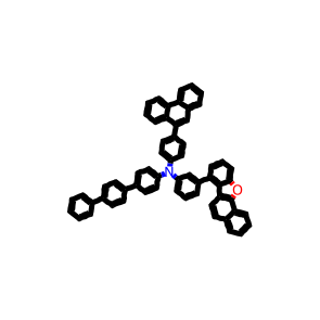 c1ccc(-c2ccc(-c3ccc(N(c4ccc(-c5cc6ccccc6c6ccccc56)cc4)c4cccc(-c5cccc6oc7c8ccccc8ccc7c56)c4)cc3)cc2)cc1